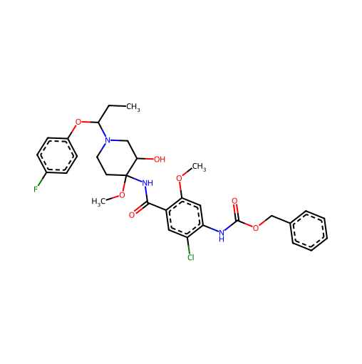 CCC(Oc1ccc(F)cc1)N1CCC(NC(=O)c2cc(Cl)c(NC(=O)OCc3ccccc3)cc2OC)(OC)C(O)C1